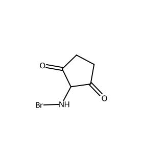 O=C1CCC(=O)C1NBr